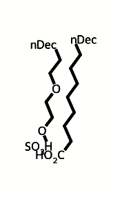 CCCCCCCCCCCCCCCCCC(=O)O.CCCCCCCCCCCCOCCOS(=O)(=O)O